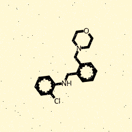 Clc1ccccc1NCc1ccccc1CN1CCOCC1